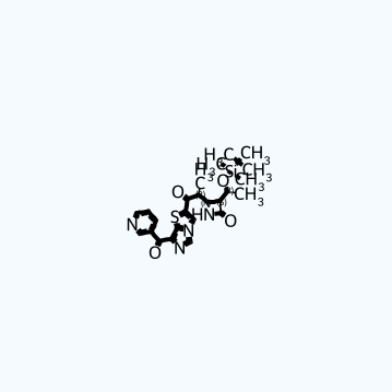 C[C@@H](O[Si](C)(C)C(C)(C)C)[C@H]1C(=O)N[C@@H]1[C@@H](C)C(=O)c1cn2cnc(C(=O)c3cccnc3)c2s1